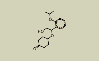 CC(C)Oc1ccccc1C(CO)OC1CCC(=O)CC1